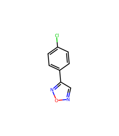 Clc1ccc(-c2cnon2)cc1